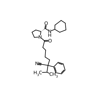 CC(C)C(C#N)(CCCCC(=O)N1CCC[C@@H]1C(=O)NC1CCCCC1)c1ccccc1